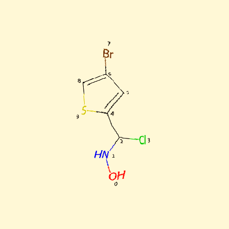 ONC(Cl)c1cc(Br)cs1